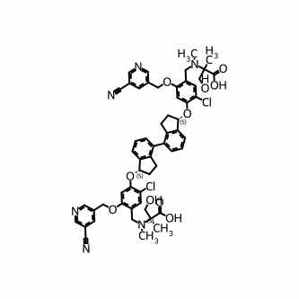 CN(Cc1cc(Cl)c(O[C@H]2CCc3c(-c4cccc5c4CC[C@@H]5Oc4cc(OCc5cncc(C#N)c5)c(CN(C)[C@@](C)(CO)C(=O)O)cc4Cl)cccc32)cc1OCc1cncc(C#N)c1)C(C)(CO)C(=O)O